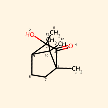 CC1(O)C(=O)C2(C)CCC1C2(C)C